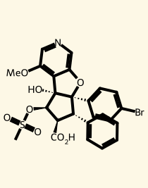 COc1cncc2c1[C@]1(O)[C@H](OS(C)(=O)=O)[C@H](C(=O)O)[C@@H](c3ccccc3)[C@]1(c1ccc(Br)cc1)O2